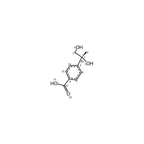 C[C@](O)(CO)c1ccc(C(=O)O)cc1